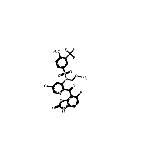 COCN(c1cc(Cl)cnc1C(=O)c1c(F)ccc2[nH]c(=O)oc12)S(=O)(=O)c1ccc(C)c(C(F)(F)F)c1